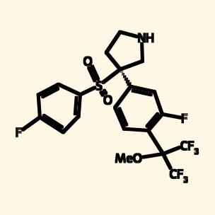 COC(c1ccc([C@]2(S(=O)(=O)c3ccc(F)cc3)CCNC2)cc1F)(C(F)(F)F)C(F)(F)F